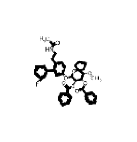 CO[C@@H]1[C@@H](OC(=O)c2ccccc2)[C@@H](OC(=O)c2ccccc2)C(Oc2ccc(CCNC(C)=O)c(-c3cccc(F)c3)c2)OC12CC=CC2